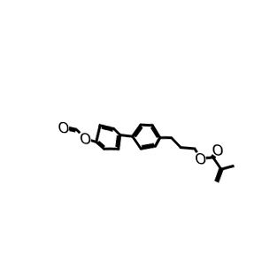 C=C(C)C(=O)OCCCc1ccc(-c2ccc(OC=O)cc2)cc1